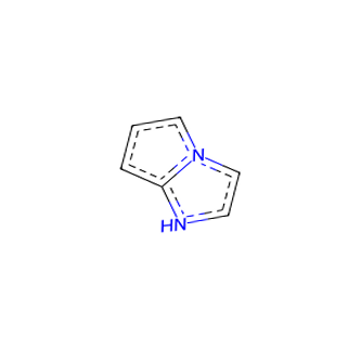 c1cc2[nH]ccn2c1